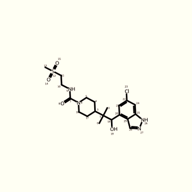 CC(C)(C1CCN(C(=O)NCCS(C)(=O)=O)CC1)C(O)c1cc(Cl)cc2[nH]ncc12